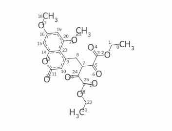 CCOC(=O)C(=O)C(Cc1cc(=O)oc2cc(OC)cc(OC)c12)C(=O)C(=O)OCC